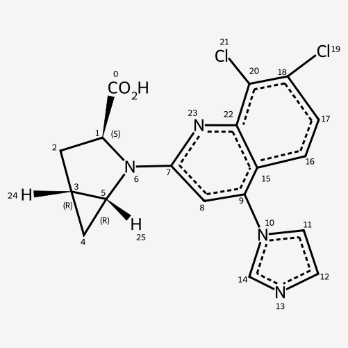 O=C(O)[C@@H]1C[C@H]2C[C@H]2N1c1cc(-n2ccnc2)c2ccc(Cl)c(Cl)c2n1